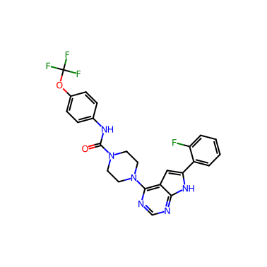 O=C(Nc1ccc(OC(F)(F)F)cc1)N1CCN(c2ncnc3[nH]c(-c4ccccc4F)cc23)CC1